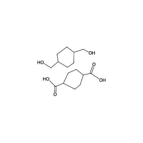 O=C(O)C1CCC(C(=O)O)CC1.OCC1CCC(CO)CC1